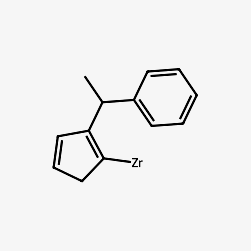 CC(C1=[C]([Zr])CC=C1)c1ccccc1